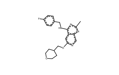 Cc1nc(NCc2ccc(F)cc2)c2cc(OCC3CCOCC3)ncc2n1